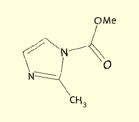 COC(=O)n1ccnc1C